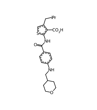 CC(C)Cc1csc(NC(=O)c2ccc(NCC3CCOCC3)cc2)c1C(=O)O